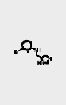 Brc1cccc(NCc2cnc[nH]2)n1